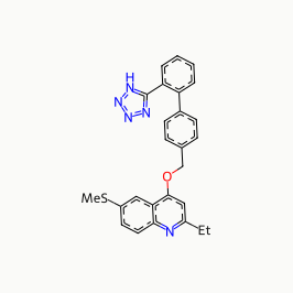 CCc1cc(OCc2ccc(-c3ccccc3-c3nnn[nH]3)cc2)c2cc(SC)ccc2n1